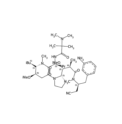 CC[C@H](C)[C@@H]([C@@H](CC(=O)N1CCC[C@H]1[C@H](OC)[C@@H](C)C(=O)N(C)[C@H](CC#N)Cc1cccc(N)c1)OC)N(C)C(=O)[C@@H](NC(=O)C(C)(C)N(C)C)C(C)C